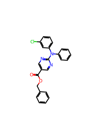 O=C(OCc1ccccc1)c1cnc(N(c2ccccc2)c2cccc(Cl)c2)nc1